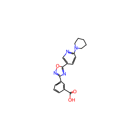 O=C(O)c1cccc(-c2noc(-c3ccc(N4CCCCC4)nc3)n2)c1